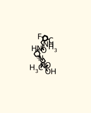 Cc1ccc(F)c2c1NC(C(=O)N[C@@H]1CCC[C@H](N3CC[C@H](N(C)C(=O)CO)C3)C1)C2